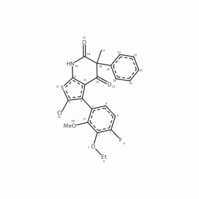 CCOc1c(F)ccc(-c2c(Cl)sc3c2C(=O)C(C)(c2ccccc2)C(=O)N3)c1OC